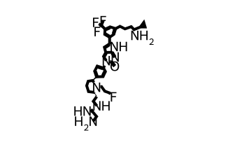 N=C(CN)NCC[C@@H]1CCC[C@@H](c2ccc(-n3cc4cc(-c5cc(CCC[C@@H](N)C6CC6)cc(C(F)(F)F)c5)[nH]c4nc3=O)cc2)N1CCCF